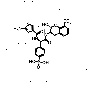 Nc1nc(C(=O)NC(C(=O)NC2Cc3cccc(C(=O)O)c3OB2O)c2ccc(P(=O)(O)O)cc2)cs1